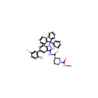 CC(C)(C)OC(=O)N1CCC[C@@H](C(=O)Nc2nn(C(c3ccccc3)(c3ccccc3)c3ccccc3)c3ccc(-c4cc(F)ccc4C(F)(F)F)cc23)C1